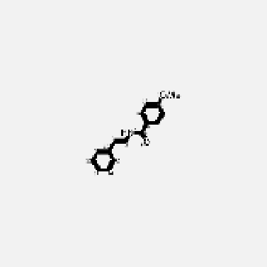 COc1ccc(C(=O)NC=Cc2ccccc2)cc1